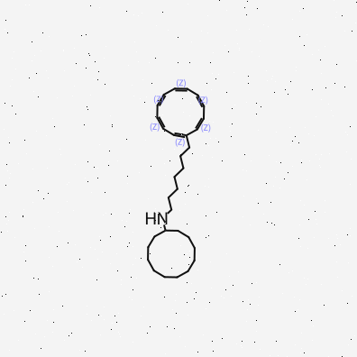 C1=C\C=C/C=C\C(CCCCCCCNC2CCCCCCCCCCC2)=C/C=C\C=C/1